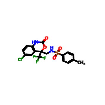 Cc1ccc(S(=O)(=O)NCC2(C(F)(F)F)OC(=O)Nc3ccc(Cl)cc32)cc1